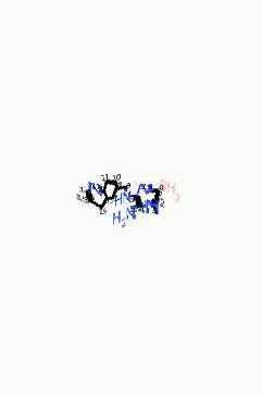 Bc1cnc(N)c(NCc2ccc3ncccc3c2)n1